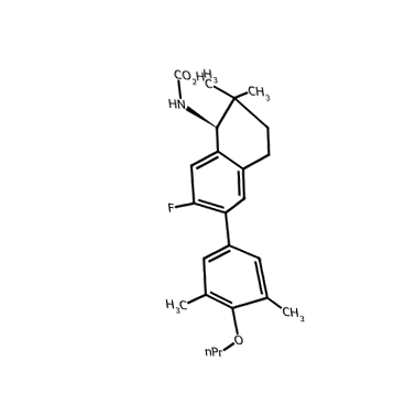 CCCOc1c(C)cc(-c2cc3c(cc2F)[C@@H](NC(=O)O)C(C)(C)CC3)cc1C